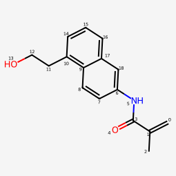 C=C(C)C(=O)Nc1ccc2c(CCO)cccc2c1